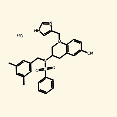 Cc1cc(C)cc(CN(C2Cc3cc(C#N)ccc3N(Cc3c[nH]cn3)C2)S(=O)(=O)c2ccccc2)c1.Cl